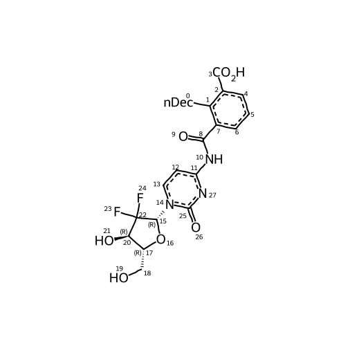 CCCCCCCCCCc1c(C(=O)O)cccc1C(=O)Nc1ccn([C@@H]2O[C@H](CO)[C@@H](O)C2(F)F)c(=O)n1